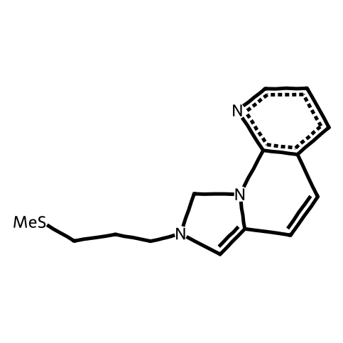 CSCCCN1C=C2C=Cc3cccnc3N2C1